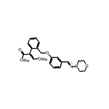 CO/C=C(/C(=O)OC)c1ccccc1COc1cccc(/C=N/N2CCOCC2)c1